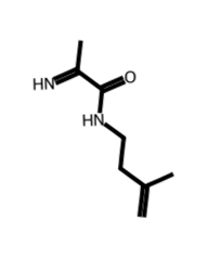 C=C(C)CCNC(=O)C(C)=N